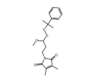 COC(CCN1C(=O)C(C)=C(C)C1=O)OOC(C)(C)c1ccccc1